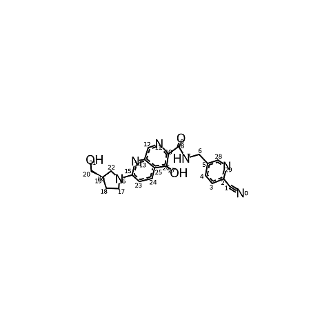 N#Cc1ccc(CNC(=O)c2ncc3nc(N4CC[C@@H](CO)C4)ccc3c2O)cn1